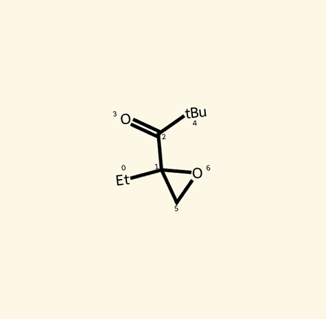 CCC1(C(=O)C(C)(C)C)CO1